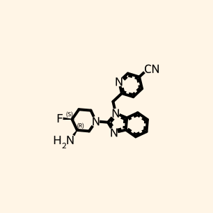 N#Cc1ccc(Cn2c(N3CC[C@H](F)[C@H](N)C3)nc3ccccc32)nc1